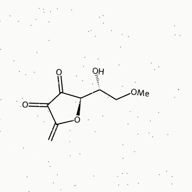 C=C1O[C@H]([C@H](O)COC)C(=O)C1=O